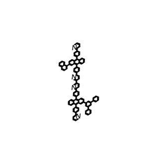 c1ccc(-c2cc(-c3ccccc3)cc(-c3ccc4c(-c5ccc(-c6ccc(-c7ccc(-c8ccc(-c9c%10ccccc%10c(-c%10ccc(-c%11ccccn%11)cc%10)c%10ccc(-c%11cccc%12ccccc%11%12)cc9%10)cc8)nc7)cn6)cc5)c5ccccc5c(-c5ccc(-c6ccccn6)cc5)c4c3)c2)cc1